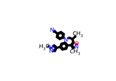 CCC1CN(c2ccc(C#N)cc2)c2cc(-c3cnn(C)c3)ccc2-c2c(C)noc21